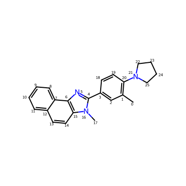 Cc1cc(-c2nc3c4ccccc4ccc3n2C)ccc1N1CCCC1